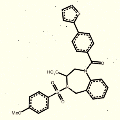 COc1ccc(S(=O)(=O)N2Cc3ccccc3N(C(=O)c3ccc(-c4cccs4)cc3)CC2C(=O)O)cc1